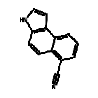 N#Cc1cccc2c1ccc1[nH]ccc12